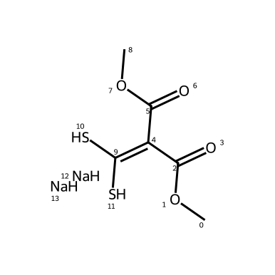 COC(=O)C(C(=O)OC)=C(S)S.[NaH].[NaH]